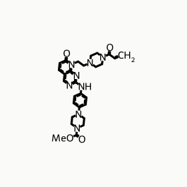 C=CC(=O)N1CCN(CCn2c(=O)ccc3cnc(Nc4ccc(N5CCN(C(=O)OC)CC5)cc4)nc32)CC1